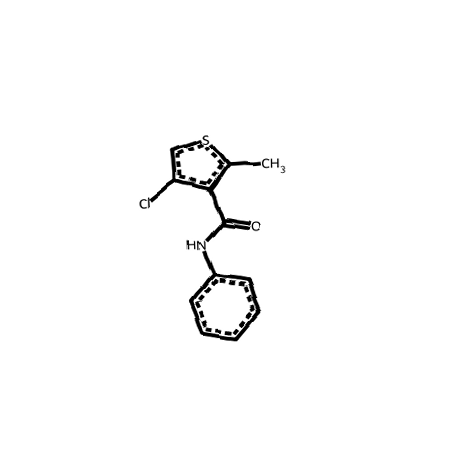 Cc1scc(Cl)c1C(=O)Nc1ccccc1